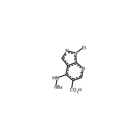 CCCCNc1c(C(=O)O)cnc2c1cnn2CC